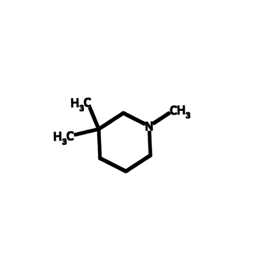 CN1CCCC(C)(C)C1